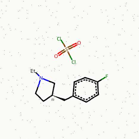 CCN1CC[C@H](Cc2ccc(F)cc2)C1.O=S(=O)(Cl)Cl